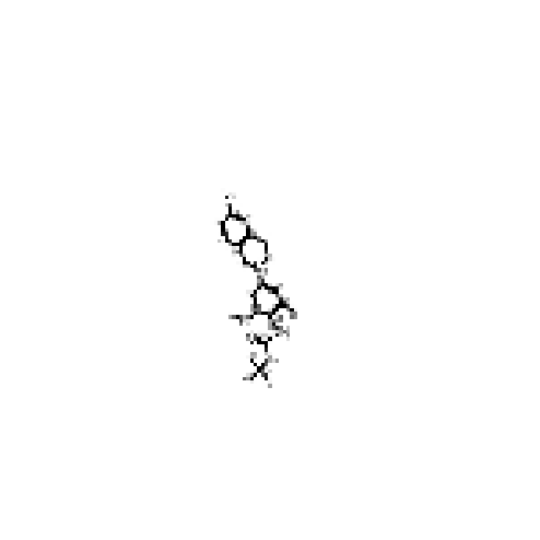 CSc1cc(N2CCc3cc(F)ccc3C2)cc(C)c1NC(=O)CC(C)(C)C